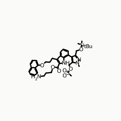 Cn1nc(CO[Si](C)(C)C(C)(C)C)c(-c2cccc3c(CCCOc4cccc5ccccc45)c(C(=O)OCCCN)[nH]c23)c1COS(C)(=O)=O